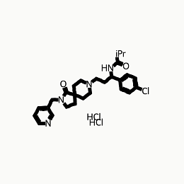 CC(C)C(=O)NC(CCN1CCC2(CC1)CCN(Cc1cccnc1)C2=O)c1ccc(Cl)cc1.Cl.Cl